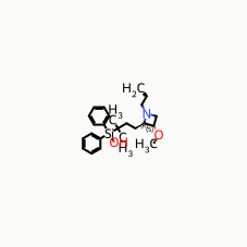 C=CCN1C[C@H](OC)[C@H]1CCC(C)(C)[Si](O)(c1ccccc1)c1ccccc1